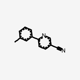 Cc1cccc(-c2ccc(C#N)cn2)c1